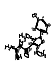 Cc1nc(-c2cccc(Cl)c2)n(C)c1C(=O)NC(=N)N